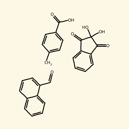 Cc1ccc(C(=O)O)cc1.O=C1c2ccccc2C(=O)C1(O)O.O=Cc1cccc2ccccc12